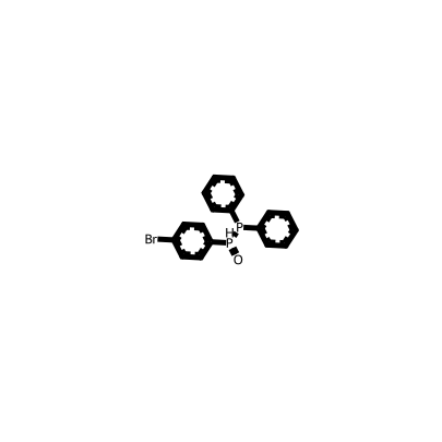 O=[PH](c1ccc(Br)cc1)P(c1ccccc1)c1ccccc1